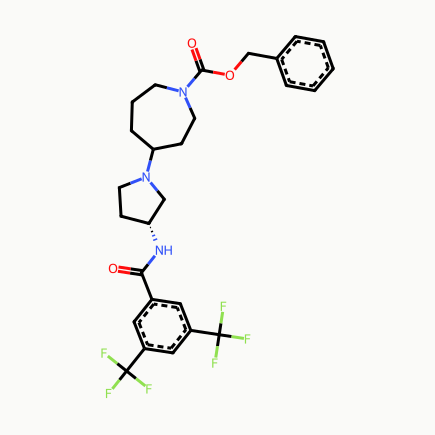 O=C(N[C@@H]1CCN(C2CCCN(C(=O)OCc3ccccc3)CC2)C1)c1cc(C(F)(F)F)cc(C(F)(F)F)c1